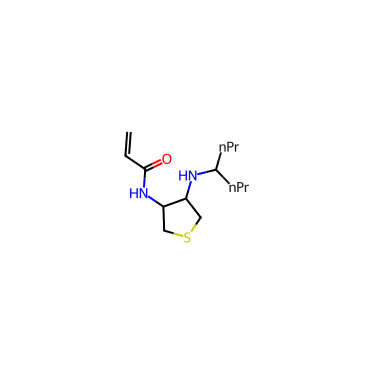 C=CC(=O)NC1CSCC1NC(CCC)CCC